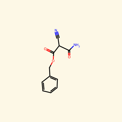 N#CC(C(N)=O)C(=O)OCc1ccccc1